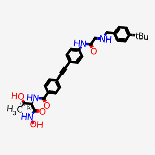 C[C@@H](O)[C@H](NC(=O)c1ccc(C#Cc2ccc(NC(=O)CNCc3ccc(C(C)(C)C)cc3)cc2)cc1)C(=O)NO